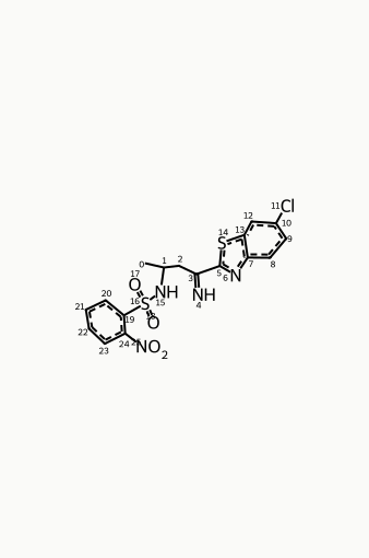 CC(CC(=N)c1nc2ccc(Cl)cc2s1)NS(=O)(=O)c1ccccc1[N+](=O)[O-]